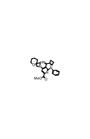 COC(=O)c1cc(N2CC3(CCCCO3)C2)c(C(=N)C2CCC2)c(Nc2ccccc2)n1